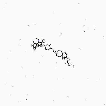 C/C=C(/C(=O)NN1CCC(CCN2CCc3ccc(OCC(F)(F)F)nc3CC2)CC1)c1cn(C)nc1C